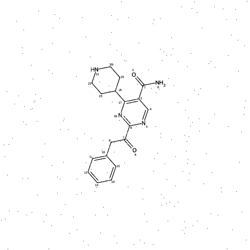 NC(=O)c1cnc(C(=O)Cc2ccccc2)nc1C1CCNCC1